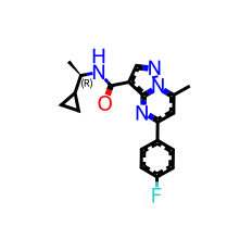 Cc1cc(-c2ccc(F)cc2)nc2c(C(=O)N[C@H](C)C3CC3)cnn12